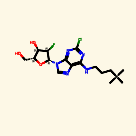 C[Si](C)(C)CCCNc1nc(Cl)nc2c1ncn2[C@@H]1O[C@H](CO)[C@@H](O)[C@H]1F